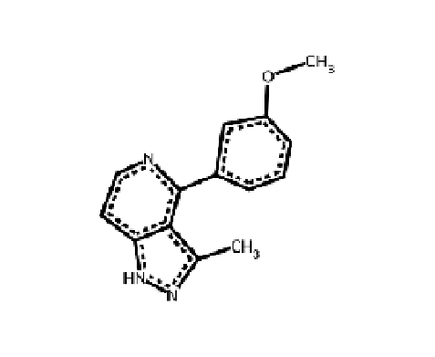 COc1cccc(-c2nccc3[nH]nc(C)c23)c1